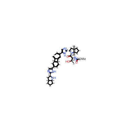 C=C1/C(=C\C(=C/C)c2cnc([C@@H]3C[C@@H]4CCC[C@@H]4N3C(=O)[C@@H](NC(=O)OC)[C@@H](C)O)[nH]2)c2ccc(-c3cnc([C@@H]4CC5CCCC5N4)[nH]3)cc21